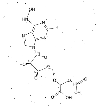 O=C(O)C(OC[C@H]1O[C@@H](n2cnc3c(NO)nc(I)nc32)[C@H](O)[C@@H]1O)O[PH](=O)O